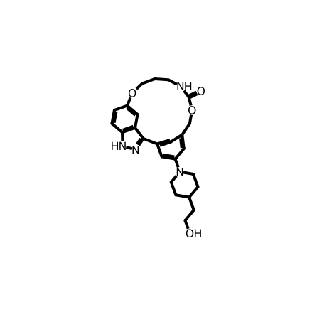 O=C1NCCCOc2ccc3[nH]nc(c3c2)-c2cc(cc(N3CCC(CCO)CC3)c2)CO1